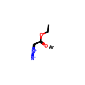 CCOC(=O)C=[N+]=[N-].[Ar]